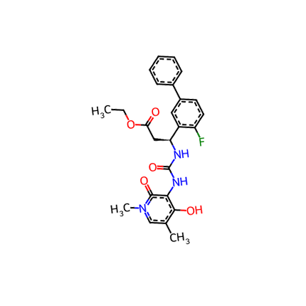 CCOC(=O)C[C@H](NC(=O)Nc1c(O)c(C)cn(C)c1=O)c1cc(-c2ccccc2)ccc1F